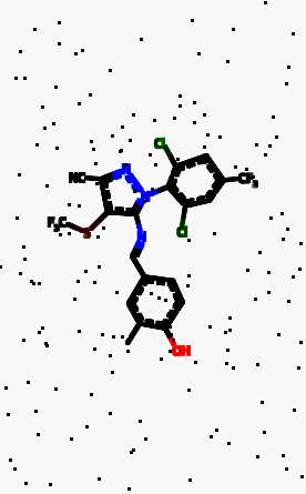 Cc1cc(C=Nc2c(SC(F)(F)F)c(C#N)nn2-c2c(Cl)cc(C(F)(F)F)cc2Cl)ccc1O